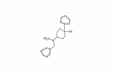 N#CC1(c2ccccc2)CCC(N(Cc2ccccc2)C(=O)O)CC1